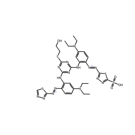 CCN(CC)c1ccc(/N=N/c2nncs2)c(Nc2nc(Nc3cc(N(CC)CC)ccc3/N=N/c3nnc(S(=O)(=O)O)s3)nc(SCCO)n2)c1